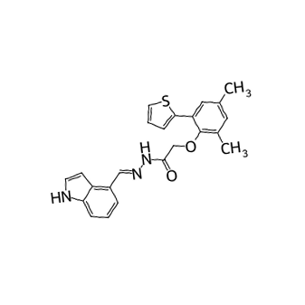 Cc1cc(C)c(OCC(=O)N/N=C/c2cccc3[nH]ccc23)c(-c2cccs2)c1